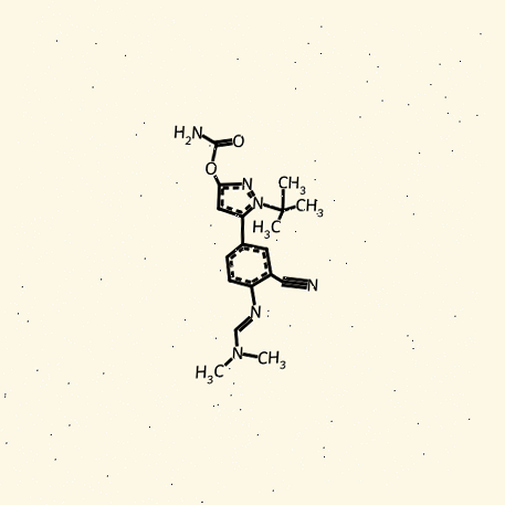 CN(C)C=Nc1ccc(-c2cc(OC(N)=O)nn2C(C)(C)C)cc1C#N